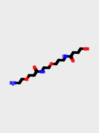 NCCOCCC(=O)NCCOCCCNC(=O)CCCO